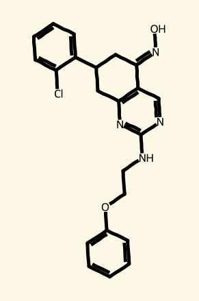 O/N=C1\CC(c2ccccc2Cl)Cc2nc(NCCOc3ccccc3)ncc21